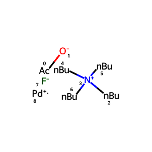 CC(=O)[O-].CCCC[N+](CCCC)(CCCC)CCCC.[F-].[Pd+]